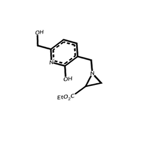 CCOC(=O)C1CN1Cc1ccc(CO)nc1O